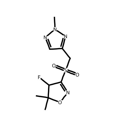 Cn1ncc(CS(=O)(=O)C2=NOC(C)(C)C2F)n1